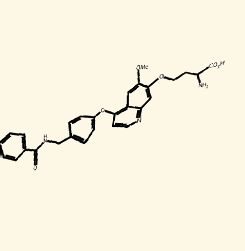 COc1cc2c(Oc3ccc(CNC(=O)c4ccccc4)cc3)ccnc2cc1OCCC(N)C(=O)O